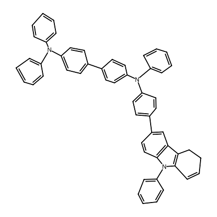 C1=Cc2c(c3cc(-c4ccc(N(c5ccccc5)c5ccc(-c6ccc(N(c7ccccc7)c7ccccc7)cc6)cc5)cc4)ccc3n2-c2ccccc2)CC1